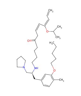 C=C/C=C(\C=C/CC(=O)CCCCN[C@@H](Cc1ccc(C)c(OCCCCC)c1)CN1CCCC1)OC(C)C